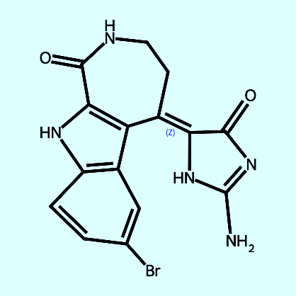 NC1=NC(=O)/C(=C2\CCNC(=O)c3[nH]c4ccc(Br)cc4c32)N1